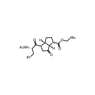 CC(=O)N[C@@H](CC(C)C)C(=O)N1CC(=O)[C@@H]2[C@H]1CCN2C(=O)OCC(C)(C)C